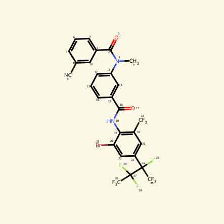 CN(C(=O)c1cccc(C#N)c1)c1cccc(C(=O)Nc2c(Br)cc(C(F)(C(F)(F)F)C(F)(F)C(F)(F)F)cc2C(F)(F)F)c1